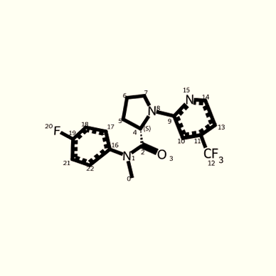 CN(C(=O)[C@@H]1CCCN1c1cc(C(F)(F)F)ccn1)c1ccc(F)cc1